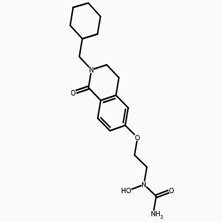 NC(=O)N(O)CCOc1ccc2c(c1)CCN(CC1CCCCC1)C2=O